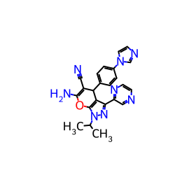 CC(C)n1nc(-c2cnccn2)c2c1OC(N)=C(C#N)C2c1ccc(-n2ccnc2)cc1